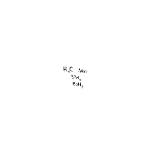 C.[BaH2].[Mn].[SiH4]